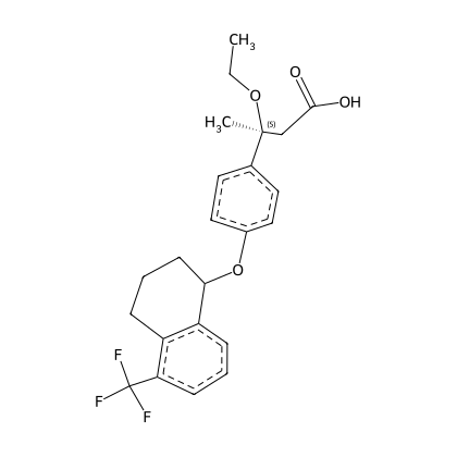 CCO[C@@](C)(CC(=O)O)c1ccc(OC2CCCc3c2cccc3C(F)(F)F)cc1